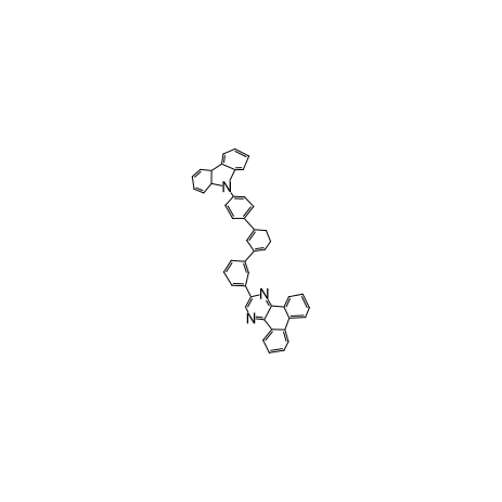 C1=CC2c3ccccc3N(c3ccc(C4=CC(c5cccc(-c6cnc7c8ccccc8c8ccccc8c7n6)c5)=CCC4)cc3)C2C=C1